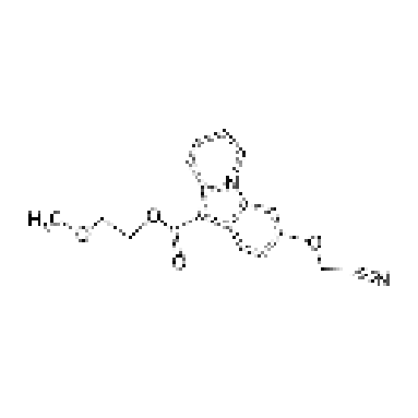 COCCOC(=O)c1c2ccc(OCC#N)cc2n2ccccc12